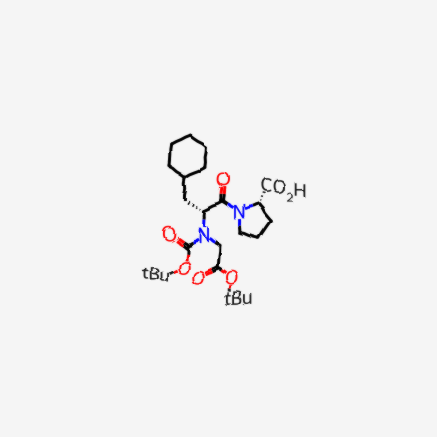 CC(C)(C)OC(=O)CN(C(=O)OC(C)(C)C)[C@H](CC1CCCCC1)C(=O)N1CCC[C@H]1C(=O)O